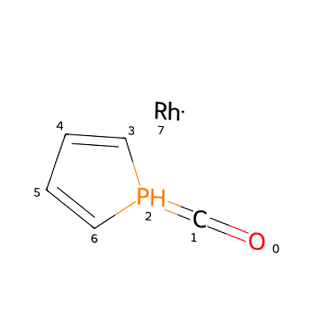 O=C=[PH]1C=CC=C1.[Rh]